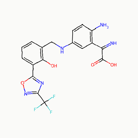 N=C(C(=O)O)c1cc(NCc2cccc(-c3nc(C(F)(F)F)no3)c2O)ccc1N